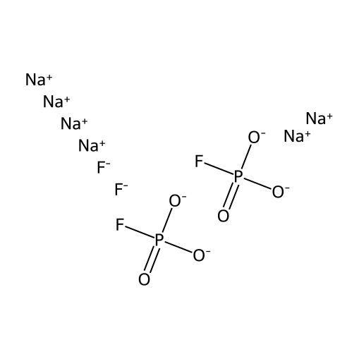 O=P([O-])([O-])F.O=P([O-])([O-])F.[F-].[F-].[Na+].[Na+].[Na+].[Na+].[Na+].[Na+]